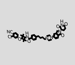 CC1(C)C(NC(=O)c2ccc(CCCCN3CCN(c4ccc5c(c4)CN(C4CCC(=O)NC4=O)C5=O)CC3)cc2)C(C)(C)C1Oc1ccc(C#N)c(Cl)c1